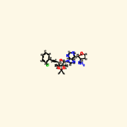 CC1(C)O[C@@H]2[C@H](O1)[C@@H](C#Cc1ccccc1Cl)O[C@H]2n1cnc2c(C3OCCC3N)ncnc21